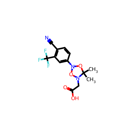 CC1(C)ON(c2ccc(C#N)c(C(F)(F)F)c2)ON1CC(=O)O